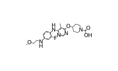 COCCNc1ccc(Nc2ncnc(OC3CCN(C(=O)O)CC3)c2C)c(F)c1